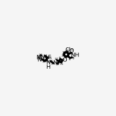 O=C1NCCc2c(OC3CC4(C3)CN(CCNc3cc5nncn5cc3F)C4)ccc(Cl)c21